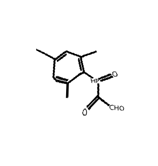 Cc1cc(C)c([PH](=O)C(=O)C=O)c(C)c1